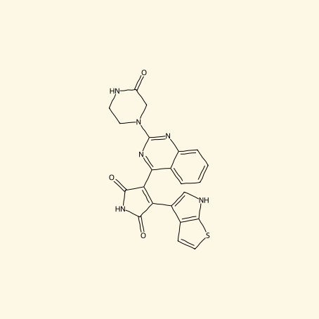 O=C1CN(c2nc(C3=C(c4c[nH]c5sccc45)C(=O)NC3=O)c3ccccc3n2)CCN1